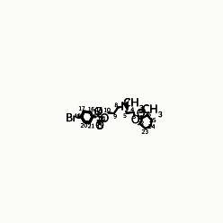 COC1(OCCN(C)CCCOS(=O)(=O)c2ccc(Br)cc2)CCCCC1